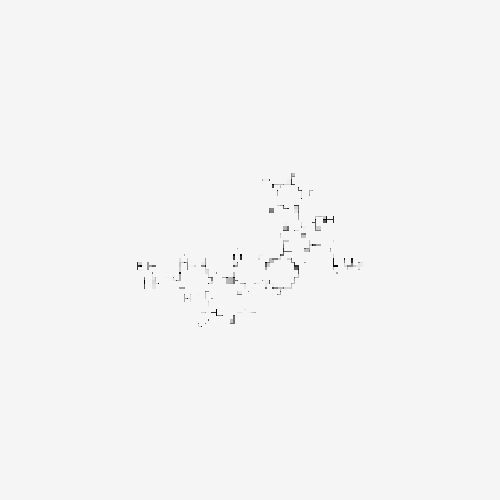 CCNc1ncc2c(n1)N(C)CCN(c1cccc(OC(O)(CCNC)c3ccsc3)c1)C2=O